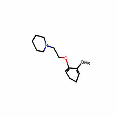 COC1=C[CH]CC=C1OCCN1CCCCC1